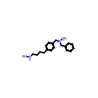 CC(C)(C)NCCCCc1ccc(CN(Cc2ccccc2)C(C)(C)C)cc1